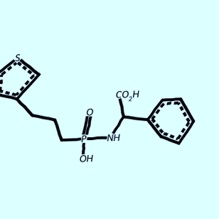 O=C(O)C(NP(=O)(O)CCCc1ccsc1)c1ccccc1